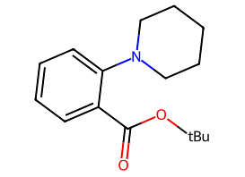 CC(C)(C)OC(=O)c1ccccc1N1CCCCC1